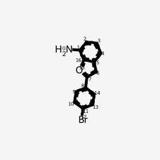 Nc1cccc2cc(-c3ccc(Br)cc3)oc12